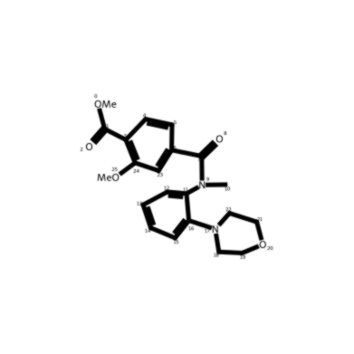 COC(=O)c1ccc(C(=O)N(C)c2ccccc2N2CCOCC2)cc1OC